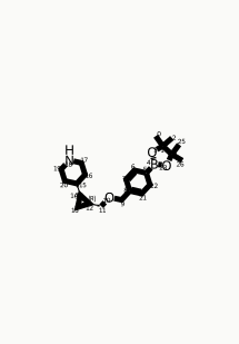 CC1(C)OB(C2C=CC(COC[C@@H]3C[C@@H]3C3CCNCC3)=CC2)OC1(C)C